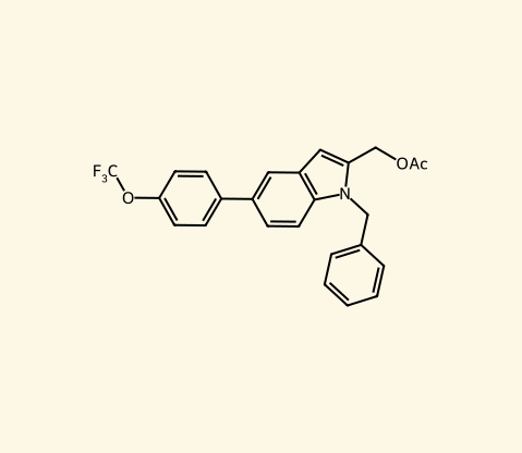 CC(=O)OCc1cc2cc(-c3ccc(OC(F)(F)F)cc3)ccc2n1Cc1ccccc1